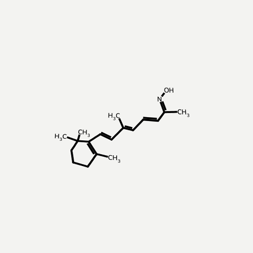 CC(/C=C/C=C(C)/C=C/C1=C(C)CCCC1(C)C)=NO